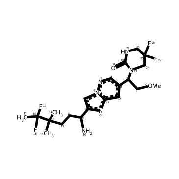 COCC(c1cnn2cc(C(N)CCC(C)(C)C(C)(F)F)nc2c1)N1CC(F)(F)CNC1=O